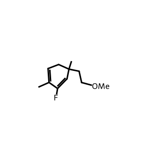 COCCC1(C)C=C(F)C(C)=CC1